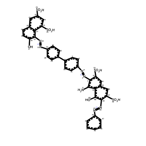 Nc1c(/N=N/c2ccc(-c3ccc(/N=N/c4c(O)ccc5cc(S(=O)(=O)O)cc(S(=O)(=O)O)c45)cc3)cc2)c(S(=O)(=O)O)cc2cc(S(=O)(=O)O)c(/N=N/c3ccccc3)c(O)c12